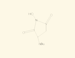 CCCCC1CC(=O)N(O)C1=O